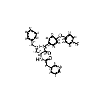 O=C(Cc1cccnc1)N[C@@H](COCc1ccccc1)C(=O)Nc1ccc(Oc2ccc(F)cc2)cc1